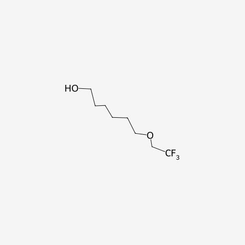 OCCCCCCOCC(F)(F)F